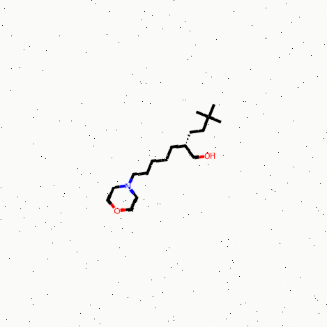 CC(C)(C)CC[C@H](CO)CCCCCN1CCOCC1